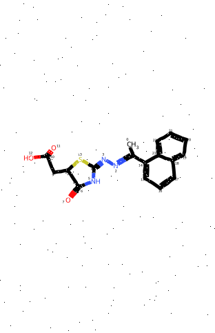 C/C(=N\N=C1/NC(=O)C(CC(=O)O)S1)c1cccc2ccccc12